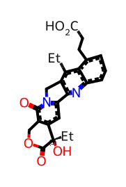 CCc1c2c(nc3cccc(CCC(=O)O)c13)-c1cc3c(c(=O)n1C2)COC(=O)[C@]3(O)CC